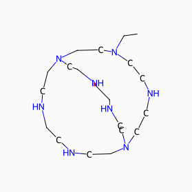 CCN1CCNCCN2CCNCCNCCN(CCNCCNCC2)CC1